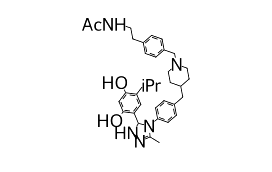 CC(=O)NCCc1ccc(CN2CCC(Cc3ccc(N4C(C)=NNC4c4cc(C(C)C)c(O)cc4O)cc3)CC2)cc1